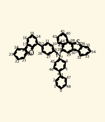 c1ccc(-c2ccc(N(c3ccc(-c4cccc5c4oc4ccccc45)cc3)c3cc4c5ccccc5sc4c4ccccc34)cc2)cc1